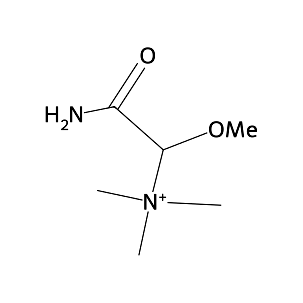 COC(C(N)=O)[N+](C)(C)C